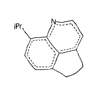 CC(C)c1ccc2c3c(ccnc13)CC2